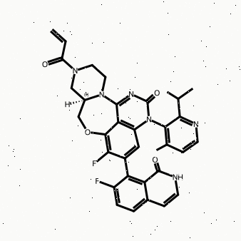 C=CC(=O)N1CCN2c3nc(=O)n(-c4c(C)ccnc4C(C)C)c4cc(-c5c(F)ccc6cc[nH]c(=O)c56)c(F)c(c34)OC[C@H]2C1